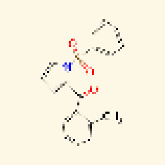 Cc1ccccc1C(=O)c1cccn1S(=O)(=O)c1ccccc1